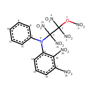 O=[N+]([O-])OC([N+](=O)[O-])([N+](=O)[O-])C(N(c1ccccc1)c1cccc([N+](=O)[O-])c1[N+](=O)[O-])([N+](=O)[O-])[N+](=O)[O-]